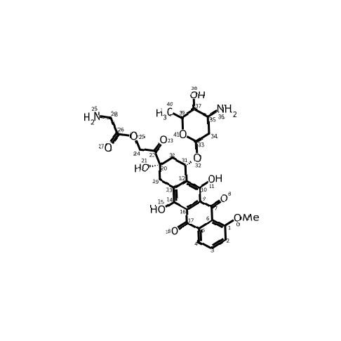 COc1cccc2c1C(=O)c1c(O)c3c(c(O)c1C2=O)C[C@@](O)(C(=O)COC(=O)CN)C[C@@H]3OC1CC(N)C(O)C(C)O1